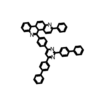 C1=CC2c3ccccc3N=C(c3ccc(-c4cc(-c5ccc(-c6ccccc6)cc5)nc(-c5ccc(-c6ccccc6)cc5)n4)cc3)C2c2ccc(-c3ccccc3)nc21